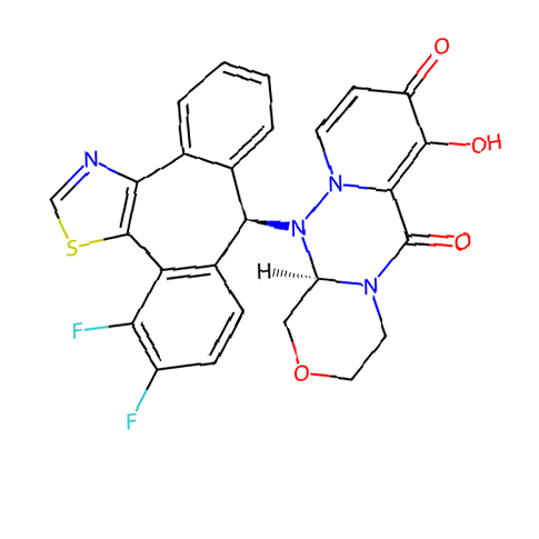 O=C1c2c(O)c(=O)ccn2N([C@@H]2c3ccccc3-c3ncsc3-c3c2ccc(F)c3F)[C@@H]2COCCN12